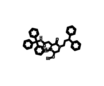 CCOC(CN(CCC(c1ccccc1)c1ccccc1)C(=O)[C@@H](N)CC(=O)NC(c1ccccc1)(c1ccccc1)c1ccccc1)OCC